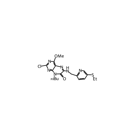 CCSc1ccc(CNc2nc3c(OC)nc(Cl)nc3n([C@H](C)CC)c2=O)nc1